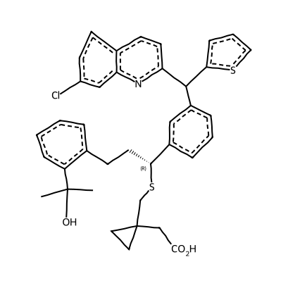 CC(C)(O)c1ccccc1CC[C@@H](SCC1(CC(=O)O)CC1)c1cccc(C(c2ccc3ccc(Cl)cc3n2)c2cccs2)c1